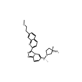 COCCc1ccc2ccc(-c3nnc4ccc([C@@H](C)N5CC[C@](C)(N)C5)cn34)nc2c1